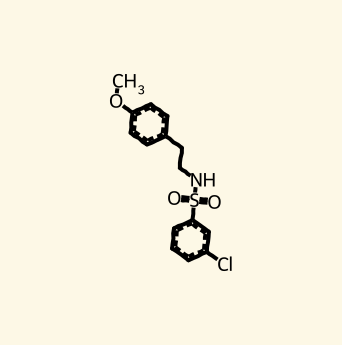 COc1ccc(CCNS(=O)(=O)c2cccc(Cl)c2)cc1